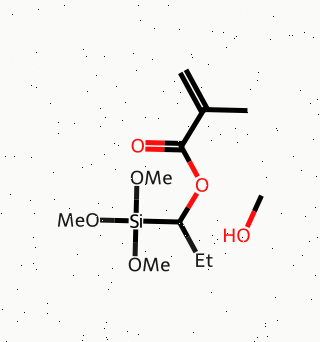 C=C(C)C(=O)OC(CC)[Si](OC)(OC)OC.CO